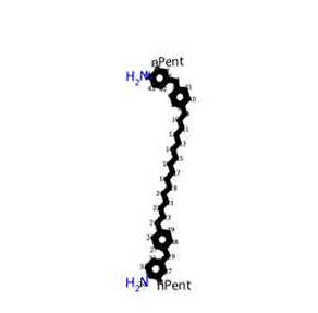 CCCCCc1cc(Cc2ccc(CCCCCCCCCCCCCCCCc3ccc(Cc4ccc(N)c(CCCCC)c4)cc3)cc2)ccc1N